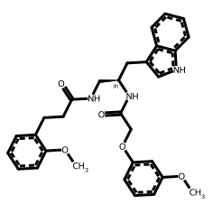 COc1cccc(OCC(=O)N[C@@H](CNC(=O)CCc2ccccc2OC)Cc2c[nH]c3ccccc23)c1